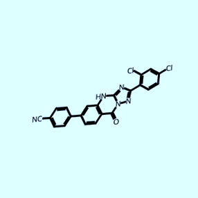 N#Cc1ccc(-c2ccc3c(=O)n4nc(-c5ccc(Cl)cc5Cl)nc4[nH]c3c2)cc1